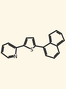 c1ccc(-c2ccc(-c3cccc4ccccc34)s2)nc1